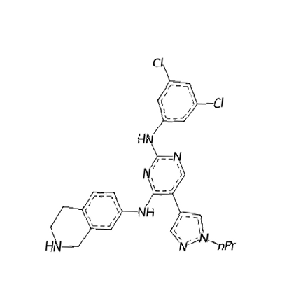 CCCn1cc(-c2cnc(Nc3cc(Cl)cc(Cl)c3)nc2Nc2ccc3c(c2)CNCC3)cn1